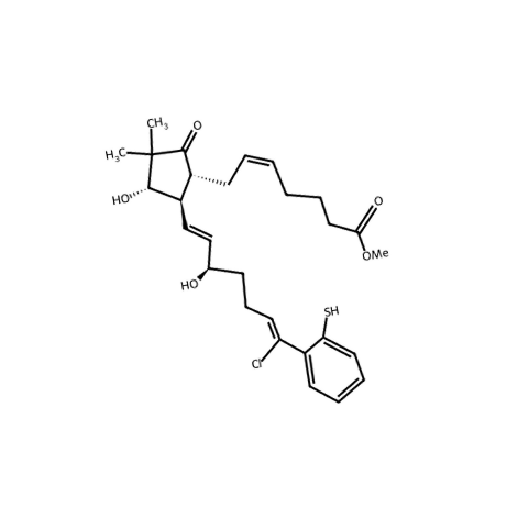 COC(=O)CCC/C=C\C[C@H]1C(=O)C(C)(C)[C@@H](O)[C@@H]1/C=C/[C@H](O)CC/C=C(\Cl)c1ccccc1S